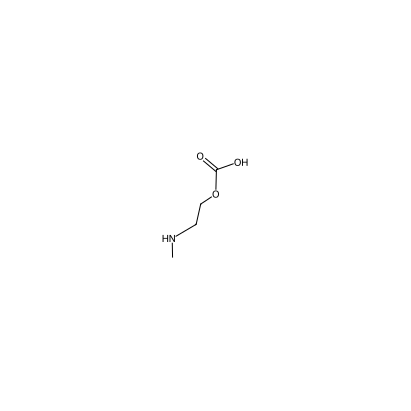 CNCCOC(=O)O